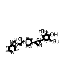 CC(C)(C)c1cc(-c2ncc(C3CCN(C(=O)Cn4cnc5ccncc54)CC3)s2)cc(C(C)(C)C)c1O